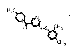 Cc1ccc(SCc2cncc(C(=O)N3CCC(C)CC3)c2)c(C)c1